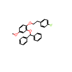 COc1ccc(OCCc2ccc(F)cc2)c(OC(c2ccccc2)c2ccccc2)c1